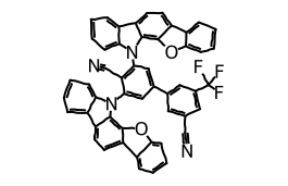 N#Cc1cc(-c2cc(-n3c4ccccc4c4ccc5c6ccccc6oc5c43)c(C#N)c(-n3c4ccccc4c4ccc5c6ccccc6oc5c43)c2)cc(C(F)(F)F)c1